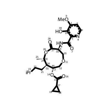 COc1ccnc(C(=O)N[C@H]2COC[C@H](OC(=O)C3CC3)[C@@H](CCC(C)C)[C@H](C)OC2=O)c1O